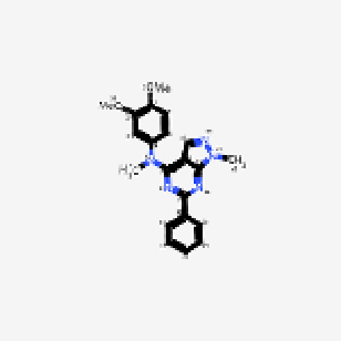 COc1ccc(N(C)c2nc(-c3ccccc3)nc3c2cnn3C)cc1OC